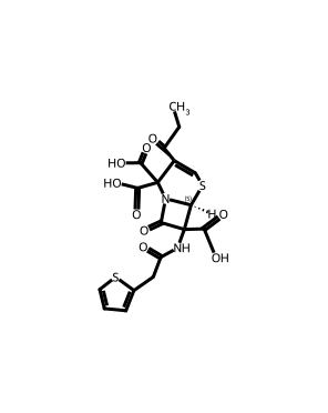 CCC(=O)C1=CS[C@@H]2N(C(=O)C2(NC(=O)Cc2cccs2)C(=O)O)C1(C(=O)O)C(=O)O